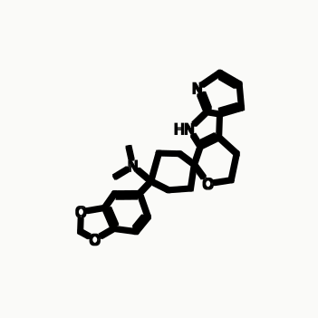 CN(C)C1(c2ccc3c(c2)OCO3)CCC2(CC1)OCCc1c2[nH]c2ncccc12